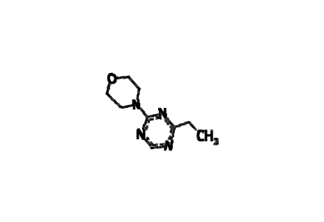 CCc1ncnc(N2CCOCC2)n1